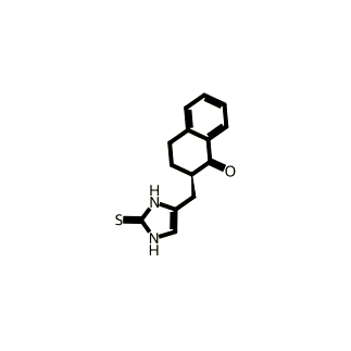 O=C1c2ccccc2CC[C@@H]1Cc1c[nH]c(=S)[nH]1